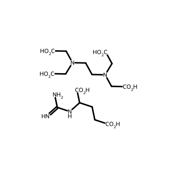 N=C(N)NC(CCC(=O)O)C(=O)O.O=C(O)CN(CCN(CC(=O)O)CC(=O)O)CC(=O)O